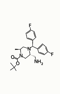 C[C@H]1CN(C(c2ccc(F)cc2)c2ccc(F)cc2)[C@H](CN)CN1C(=O)OC(C)(C)C